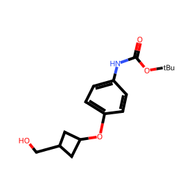 CC(C)(C)OC(=O)Nc1ccc(OC2CC(CO)C2)cc1